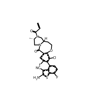 C=CC(=O)N1C[C@@H]2CCOc3c(cc(F)c(-c4ccc(F)c5sc(N)c(C#N)c45)c3Cl)C(=O)N2C[C@@H]1C